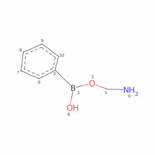 NCOB(O)c1ccccc1